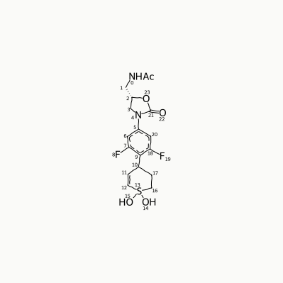 CC(=O)NC[C@H]1CN(c2cc(F)c(C3C=CS(O)(O)CC3)c(F)c2)C(=O)O1